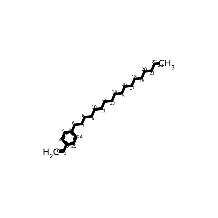 C=Cc1ccc(CCCCCCCCCCCCCCCCCC)cc1